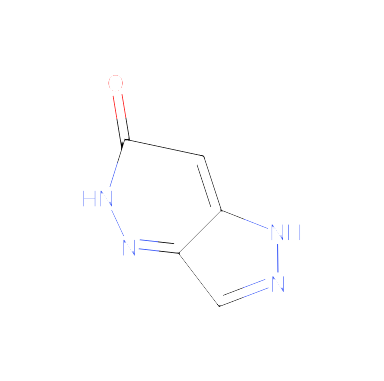 O=c1cc2[nH]ncc2n[nH]1